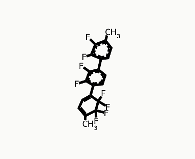 CC1=CC=C(c2ccc(-c3ccc(C)c(F)c3F)c(F)c2F)C(F)(F)C1(F)F